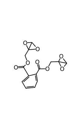 O=C(OCC12OC1O2)c1ccccc1C(=O)OCC12OC1O2